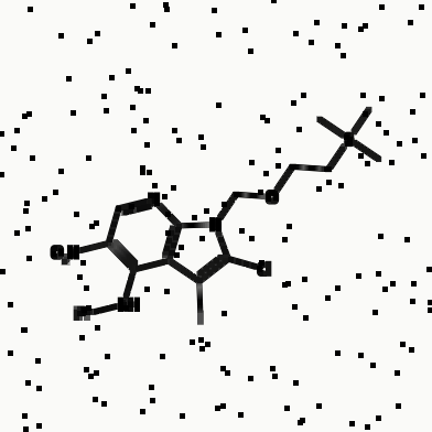 CC(C)Nc1c([N+](=O)[O-])cnc2c1c(I)c(Cl)n2COCCS(C)(C)C